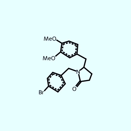 COc1ccc(CC2CCC(=O)N2Cc2ccc(Br)cc2)cc1OC